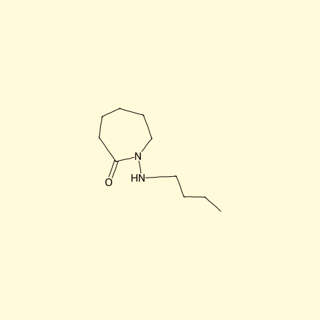 CCCCNN1CCCCCC1=O